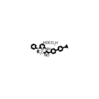 Cc1noc(-c2ccc(-c3ccc(C4CC4)cc3)cc2)c1Nc1cccc([S+]([O-])c2ccccc2)n1.O=C(O)O